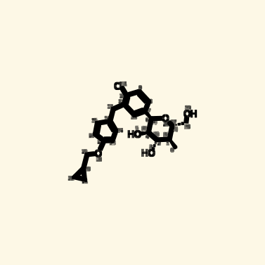 C[C@H]1[C@H](O)[C@@H](O)[C@@H](c2ccc(Cl)c(Cc3ccc(OCC4CC4)cc3)c2)O[C@@H]1CO